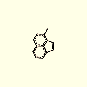 Cc1ccc2cccc3c2c1C=C3